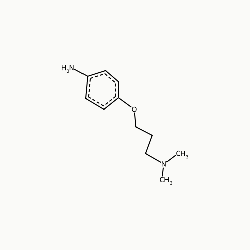 CN(C)CCCOc1ccc(N)cc1